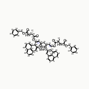 COC1=Cc2cccc3cccc(c23)[C@H]1/C(=C\C(=O)CC(=O)/C=C(/OC(=O)[C@@H](C)NC(=O)OCc1ccccc1)[C@H]1C(OC)=Cc2cccc3cccc1c23)OC(=O)[C@@H](C)NC(=O)OCc1ccccc1